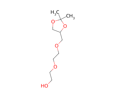 CC1(C)OCC(COCCOCCO)O1